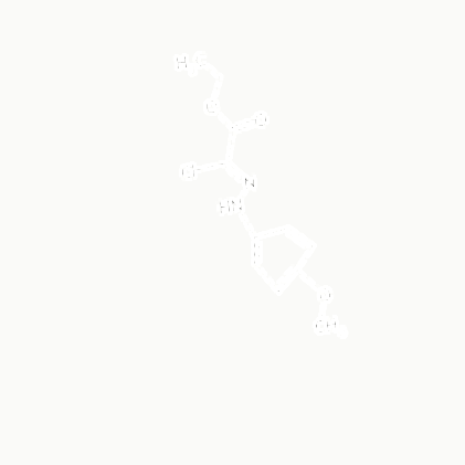 CCOC(=O)C(Cl)=NNc1ccc(OC)cc1